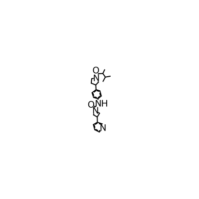 CC(C)C(C)C(=O)N1CCC(c2ccc(NC(=O)N3CC(c4cccnc4)C3)cc2)C1